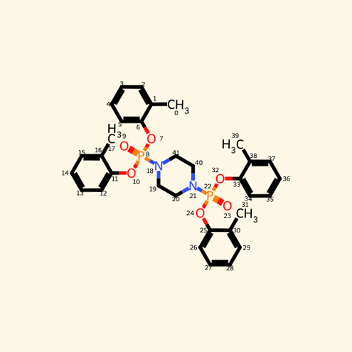 Cc1ccccc1OP(=O)(Oc1ccccc1C)N1CCN(P(=O)(Oc2ccccc2C)Oc2ccccc2C)CC1